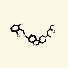 CC(CC(=O)O)N1CCC2(CC1)COc1cc(OCc3c(Cl)cccc3Cl)ccc12